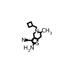 CC1Cc2sc(N)c(C#N)c2CN1CC1CCC1